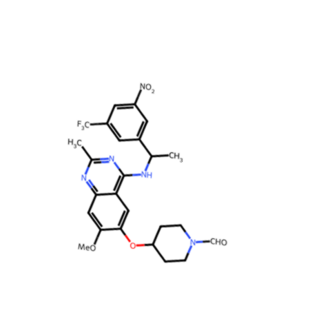 COc1cc2nc(C)nc(NC(C)c3cc([N+](=O)[O-])cc(C(F)(F)F)c3)c2cc1OC1CCN(C=O)CC1